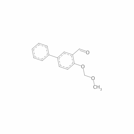 COCOc1ccc(-c2ccccc2)cc1C=O